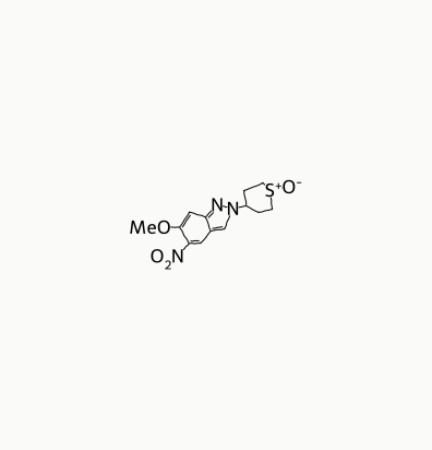 COc1cc2nn(C3CC[S+]([O-])CC3)cc2cc1[N+](=O)[O-]